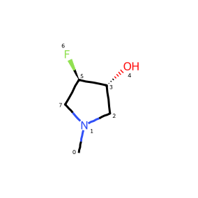 CN1C[C@@H](O)[C@H](F)C1